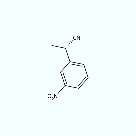 C[C@H](C#N)c1cccc([N+](=O)[O-])c1